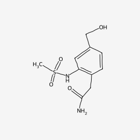 CS(=O)(=O)Nc1cc(CO)ccc1CC(N)=O